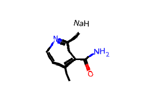 Cc1ccnc(C)c1C(N)=O.[NaH]